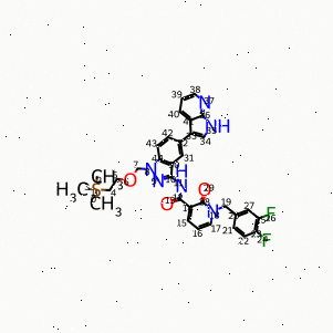 CS(C)(C)CCOCn1nc(NC(=O)c2cccn(Cc3ccc(F)c(F)c3)c2=O)c2cc(-c3c[nH]c4ncccc34)ccc21